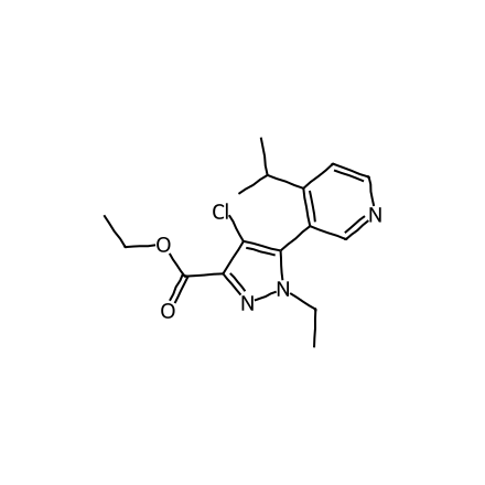 CCOC(=O)c1nn(CC)c(-c2cnccc2C(C)C)c1Cl